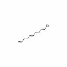 C=CCC/C=C/CC/C=C/CC